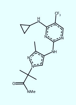 CNC(=O)C(C)(C)n1cc(Nc2ncc(C(F)(F)F)c(NC3CC3)n2)c(C)n1